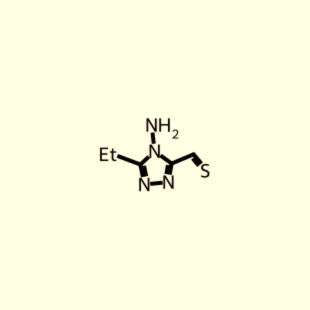 CCc1nnc(C=S)n1N